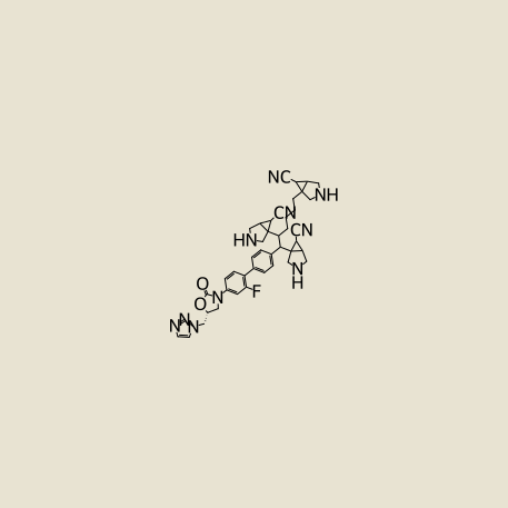 N#CC1C2CNCC12CCCCC(C(c1ccc(-c2ccc(N3C[C@H](Cn4ccnn4)OC3=O)cc2F)cc1)C12CNCC1C2C#N)C12CNCC1C2C#N